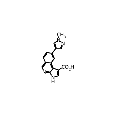 Cn1cc(-c2ccc3cnc4[nH]cc(C(=O)O)c4c3c2)cn1